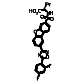 CC(C)[C@H](NS(=O)(=O)c1ccc2c(c1)oc1ccc(-c3noc(-c4ccc(F)cc4F)n3)cc12)C(=O)O